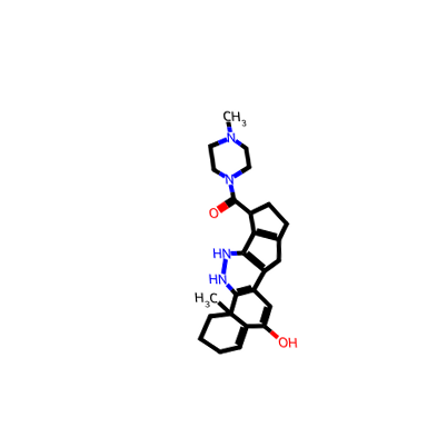 CN1CCN(C(=O)C2CCC3=C2C2=C(C3)C3=C(NN2)C2(C)CCCC=C2C(O)=C3)CC1